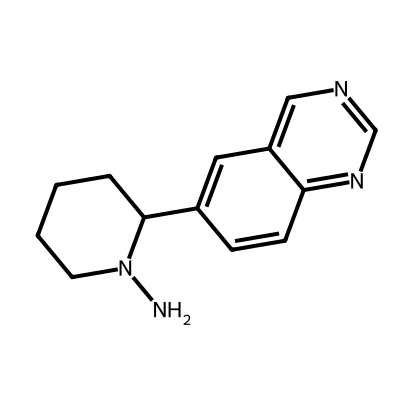 NN1CCCCC1c1ccc2ncncc2c1